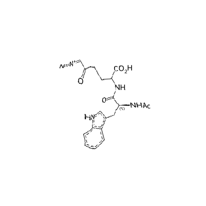 CC(=O)N[C@@H](Cc1c[nH]c2ccccc12)C(=O)NC(CCC(=O)C=[N+]=[N-])C(=O)O